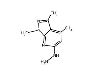 Cc1cc(NN)nc2c1c(C)nn2C